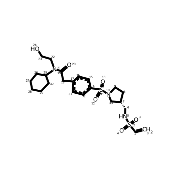 C=CS(=O)(=O)NC[C@H]1CCN(S(=O)(=O)c2ccc(CC(=O)N(CCO)C3CCCCC3)cc2)C1